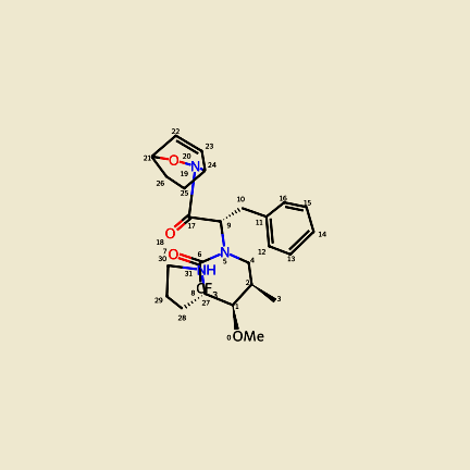 CO[C@H]([C@H](C)CN(C(=O)C(F)(F)F)[C@@H](Cc1ccccc1)C(=O)N1OC2C=CC1CC2)[C@@H]1CCCN1